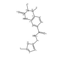 Cc1ccc(CNC(=O)c2ccc3c(c2)NC(=O)N(C)N3C)o1